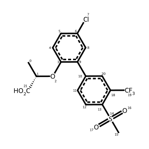 C[C@H](Oc1ccc(Cl)cc1-c1ccc(S(C)(=O)=O)c(C(F)(F)F)c1)C(=O)O